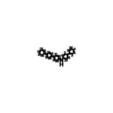 c1ccc(-c2ccc(Nc3ccc(-c4ccc(C5CCCCC5)cc4)cc3)cc2)cc1